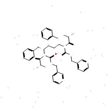 CC(C)[C@H](N)C(=O)N(C(=O)OCc1cccnc1)[C@@H](Cc1ccccc1)[C@H](O)[C@H](O)[C@H](Cc1ccccc1)N(C(=O)OCc1cccnc1)C(=O)[C@@H](N)C(C)C